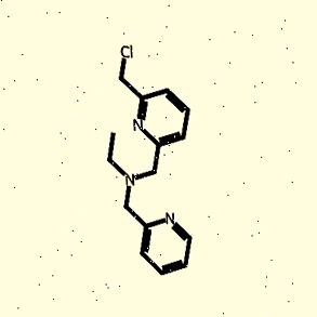 CCN(Cc1ccccn1)Cc1cccc(CCl)n1